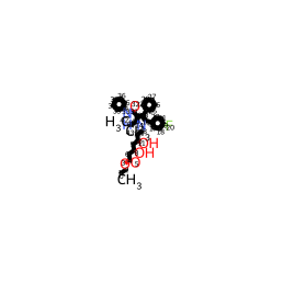 CCCOC(=O)CC(O)CC(O)CCn1c(-c2ccc(F)cc2)c(-c2ccccc2)c(C(=O)Nc2ccccc2)c1C(C)C